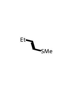 [CH2]CC=CSC